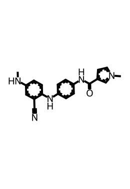 CNc1ccc(Nc2ccc(NC(=O)c3ccn(C)c3)cc2)c(C#N)c1